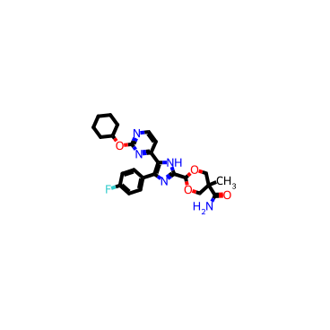 CC1(C(N)=O)COC(c2nc(-c3ccc(F)cc3)c(-c3ccnc(OC4CCCCC4)n3)[nH]2)OC1